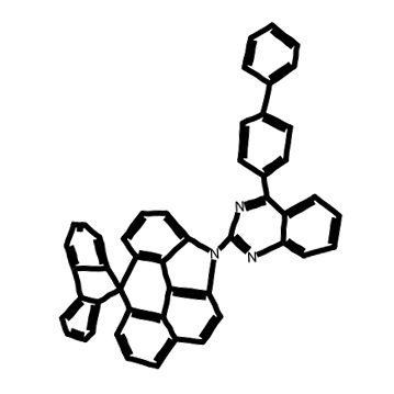 c1ccc(-c2ccc(-c3nc(-n4c5cccc6c5c5c7c(cccc7ccc54)C64c5ccccc5-c5ccccc54)nc4ccccc34)cc2)cc1